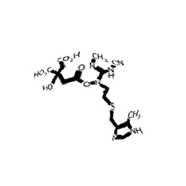 CN=C(NC#N)N(CCSCc1nc[nH]c1C)OC(=O)CC(O)(CC(=O)O)C(=O)O